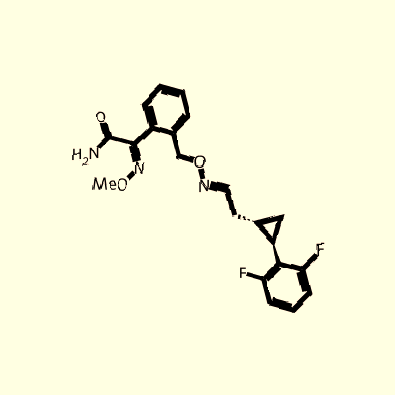 CON=C(C(N)=O)c1ccccc1CON=CC[C@@H]1C[C@H]1c1c(F)cccc1F